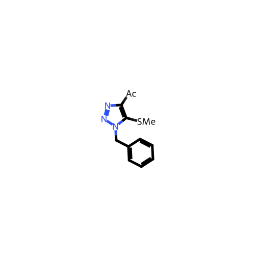 CSc1c(C(C)=O)nnn1Cc1ccccc1